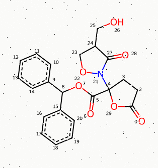 O=C1CCC(C(=O)OC(c2ccccc2)c2ccccc2)(N2OCC(CO)C2=O)O1